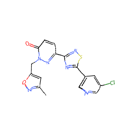 Cc1cc(Cn2nc(-c3nsc(-c4cncc(Cl)c4)n3)ccc2=O)on1